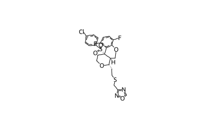 O=S(=O)(c1ccc(Cl)cc1)[C@@]12CCO[C@@H](CCSCc3ncon3)[C@@H]1COc1c(F)ccc(F)c12